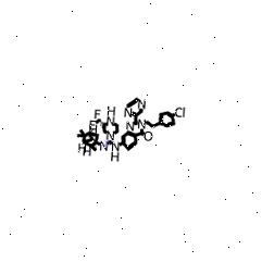 C[C@@H]1C(/N=C(/Nc2ccc3c(=O)n(CCc4ccc(Cl)cc4)c(-c4cnccn4)nc3c2)N2CCN[C@@H](C(F)F)C2)C[C@H]2C[C@@H]1C2(C)C